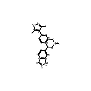 Cc1noc(C)c1-c1ccc2c(c1)CN(C)CC2c1ccc2cn[nH]c2c1